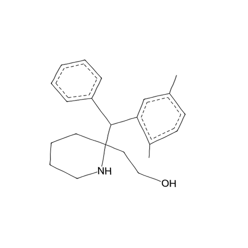 Cc1ccc(C)c(C(c2ccccc2)C2(CCO)CCCCN2)c1